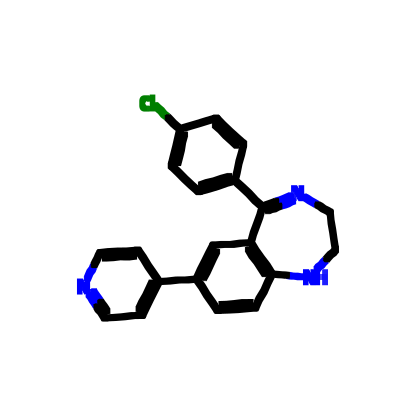 Clc1ccc(C2=NCCNc3ccc(-c4ccncc4)cc32)cc1